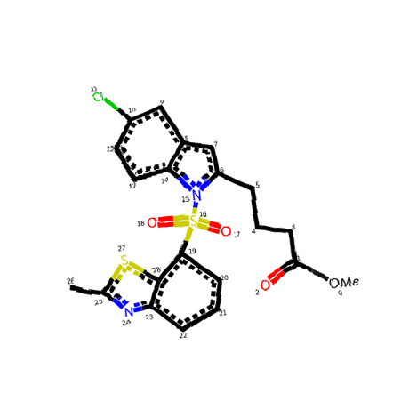 COC(=O)CCCc1cc2cc(Cl)ccc2n1S(=O)(=O)c1cccc2nc(C)sc12